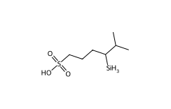 CC(C)C([SiH3])CCCS(=O)(=O)O